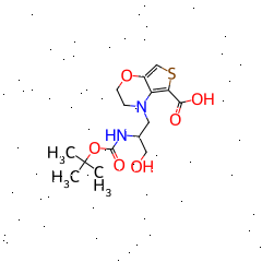 CC(C)(C)OC(=O)NC(CO)CN1CCOc2csc(C(=O)O)c21